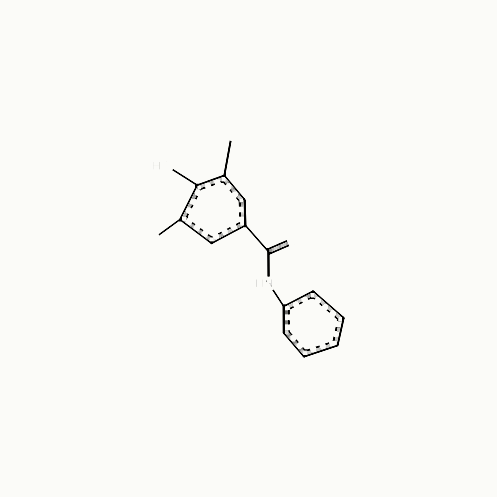 Cc1cc(C(=O)Nc2cc[c]cc2)cc(C)c1O